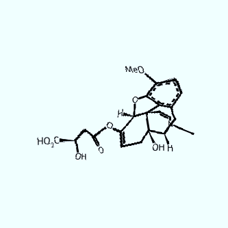 COc1ccc2c3c1O[C@H]1C(OC(=O)C[C@@H](O)C(=O)O)=CC[C@@]4(O)[C@@H](C2)N(C)C=C[C@]314